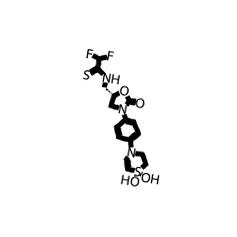 O=C1O[C@@H](CNC(=S)C(F)F)CN1c1ccc(N2C=CS(O)(O)CC2)cc1